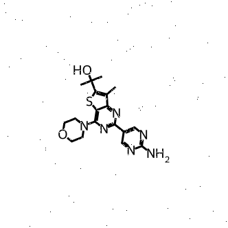 Cc1c(C(C)(C)O)sc2c(N3CCOCC3)nc(-c3cnc(N)nc3)nc12